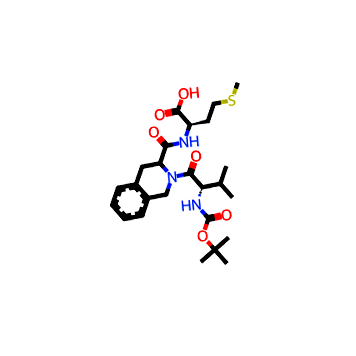 CSCC[C@@H](NC(=O)C1Cc2ccccc2CN1C(=O)[C@@H](NC(=O)OC(C)(C)C)C(C)C)C(=O)O